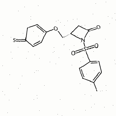 Cc1ccc(S(=O)(=O)N2C(=O)C[C@H]2COC2=CCC(=S)C=C2)cc1